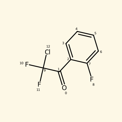 O=C(c1ccccc1F)C(F)(F)Cl